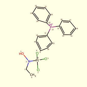 CC[N](O)[Pt-]([Cl])([Cl])[Cl].c1ccc([PH+](c2ccccc2)c2ccccc2)cc1